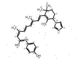 CC1=C(/C=C/C(C)=C/C=C/C(C)=C\C(O)=[SH]c2ccc(O)cc2)C(C)(C)CCC1n1ccnc1